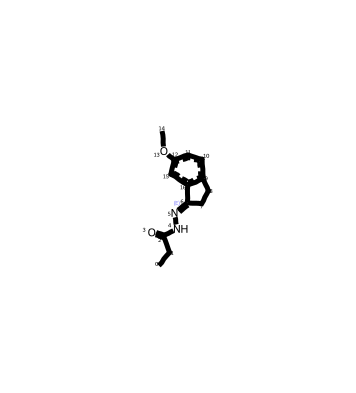 CCC(=O)N/N=C1\CCc2ccc(OC)cc21